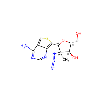 C[C@@]1(N=[N+]=[N-])[C@H](O)[C@@H](CO)O[C@H]1c1scc2c(N)ncnc12